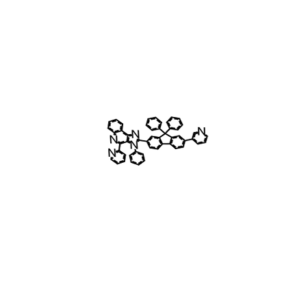 c1ccc(-n2c(-c3ccc4c(c3)C(c3ccccc3)(c3ccccc3)c3cc(-c5cccnc5)ccc3-4)nc3c4ccccc4nc(-c4ccccn4)c32)cc1